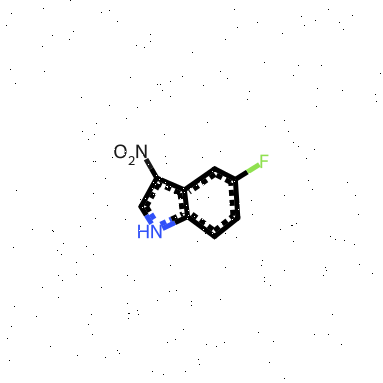 O=[N+]([O-])c1c[nH]c2ccc(F)cc12